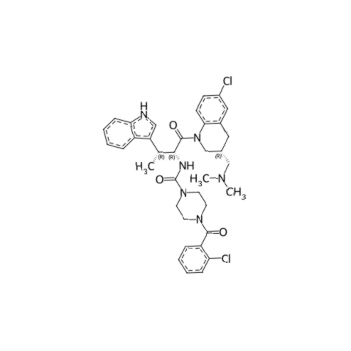 C[C@H](c1c[nH]c2ccccc12)[C@@H](NC(=O)N1CCN(C(=O)c2ccccc2Cl)CC1)C(=O)N1C[C@@H](CN(C)C)Cc2cc(Cl)ccc21